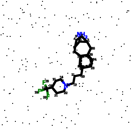 NC1C2CCC1Cc1cc(CCCN3CCC(C(F)(F)F)CC3)ccc1C2